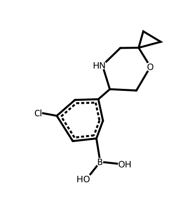 OB(O)c1cc(Cl)cc(C2COC3(CC3)CN2)c1